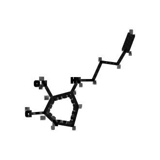 C#CCCCNc1ccnc(Cl)c1[N+](=O)[O-]